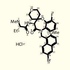 CC[C@H](NC)C(=O)N[C@@H]1C(=O)N(Cc2c(OC)ccc3cc(Br)ccc23)c2cccc(F)c2OC12CCOCC2.Cl